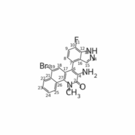 Cn1c(=O)c(N)c(-c2ccc(F)c3[nH]ncc23)c2cc(Br)c3ccccc3c21